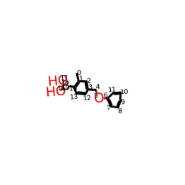 Cc1cc(COc2ccccc2)ccc1B(O)O